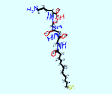 NCCCC[C@H](NC(=O)CNC(=O)CNC(=O)CNC(=O)CCCCCCCCCCS)C(=O)O